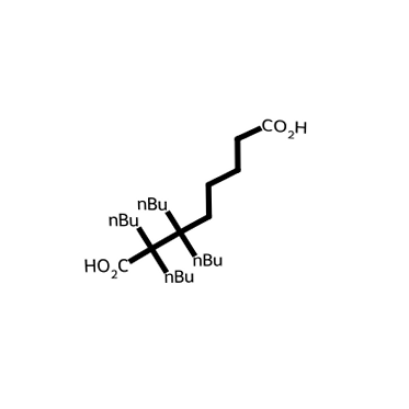 CCCCC(CCCC)(CCCCC(=O)O)C(CCCC)(CCCC)C(=O)O